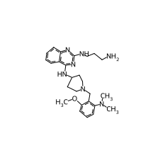 COc1cccc(N(C)C)c1CN1CCC(Nc2nc(NCCCN)nc3ccccc23)CC1